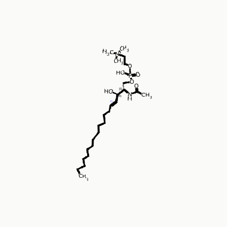 CCCCCCCCCCCCC/C=C/[C@@H](O)[C@H](COP(=O)(O)OCC[N+](C)(C)C)NC(C)=O